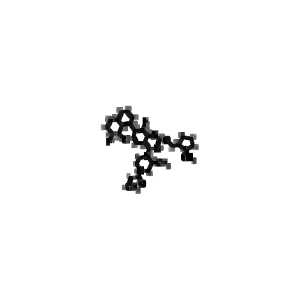 C=CC(=O)N1CCN(c2nc(OCC3CCCN3C)nc3c(F)c(-c4cccc5ccc(F)c(Cl)c45)ccc23)C(C)C1